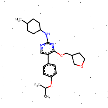 CC1CCC(Nc2ncc(-c3ccc(OC(C)C)cc3)c(OCC3CCOC3)n2)CC1